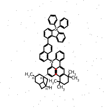 C[C@@H]1CC2C[C@H]3C[C@](c4cccc(N(c5ccccc5-c5ccc6c(c5)C(C)(C)CCC6(C)C)c5cccc6cc(-c7cccc8c7-c7ccccc7[Si]8(c7ccccc7)c7ccccc7)ccc56)c4)(C1)C23